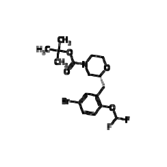 CC(C)(C)OC(=O)N1CCO[C@H](Cc2cc(Br)ccc2OC(F)F)C1